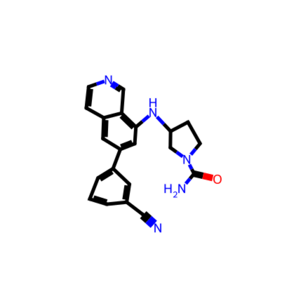 N#Cc1cccc(-c2cc(NC3CCN(C(N)=O)C3)c3cnccc3c2)c1